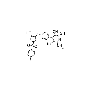 Cc1ccc(S(=O)(=O)N2CC(O)C(Oc3ccc(-c4c(C#N)c(N)nc(S)c4C#N)cc3)C2)cc1